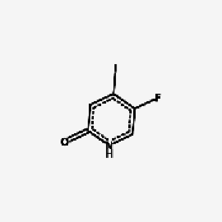 O=c1cc(I)c(F)c[nH]1